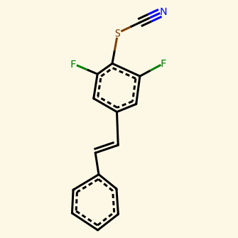 N#CSc1c(F)cc(C=Cc2ccccc2)cc1F